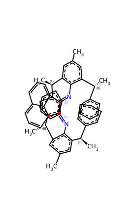 Cc1cc([C@H](C)c2ccccc2)c(/N=C2\C3=CC=CC4=CC=CC(\C2=N/c2c([C@H](C)c5ccccc5)cc(C)cc2[C@H](C)c2ccccc2)C43)c([C@H](C)c2ccccc2)c1